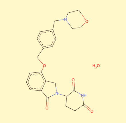 O.O=C1CCC(N2Cc3c(OCc4ccc(CN5CCOCC5)cc4)cccc3C2=O)C(=O)N1